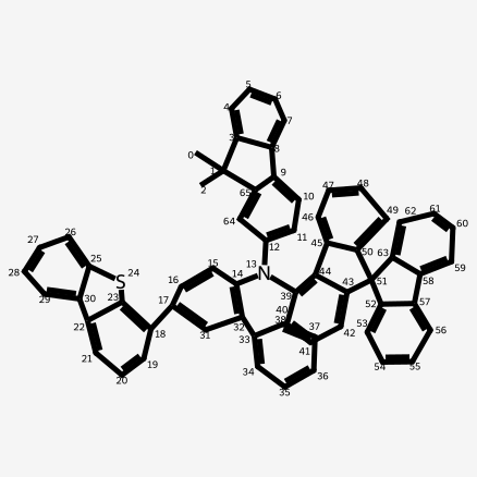 CC1(C)c2ccccc2-c2ccc(N(c3ccc(-c4cccc5c4sc4ccccc45)cc3-c3ccccc3)c3cccc4c3-c3ccccc3C43c4ccccc4-c4ccccc43)cc21